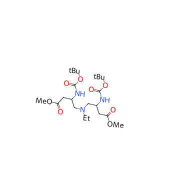 CCN(CC(CC(=O)OC)NC(=O)OC(C)(C)C)CC(CC(=O)OC)NC(=O)OC(C)(C)C